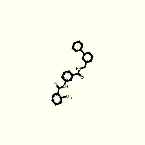 O=C(NCc1cccc(-c2ccccc2)c1)c1cccc(NC(=O)c2ccccc2C(F)(F)F)c1